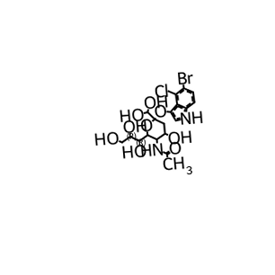 CC(=O)NC1C(O)CC(Oc2c[nH]c3ccc(Br)c(Cl)c23)(C(O)O)OC1[C@H](O)[C@H](O)CO